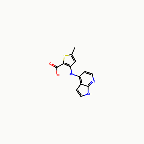 Cc1cc(Nc2ccnc3[nH]ccc23)c(C(=O)O)s1